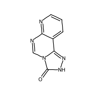 O=c1[nH]nc2c3cccnc3ncn12